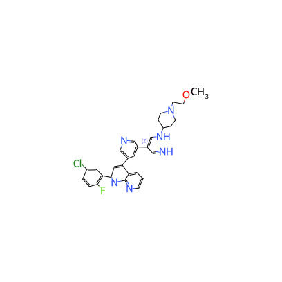 COCCN1CCC(N/C=C(\C=N)c2cncc(-c3cc(-c4cc(Cl)ccc4F)nc4ncccc34)c2)CC1